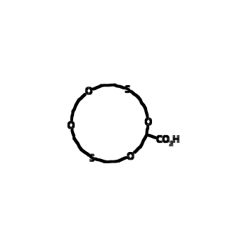 O=C(O)C1COCCSCCOCCOCCSCCO1